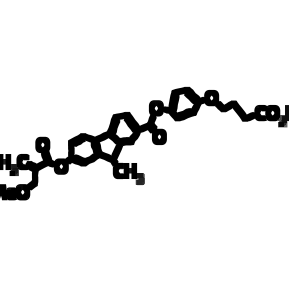 C=C(COC)C(=O)Oc1ccc2c(c1)C(C)c1cc(C(=O)Oc3ccc(OCCCC(=O)O)cc3)ccc1-2